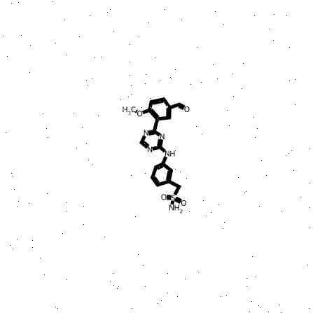 COc1ccc(C=O)cc1-c1ncnc(Nc2cccc(CS(N)(=O)=O)c2)n1